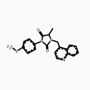 CC1C(=O)N(c2ccc(SC(F)(F)F)cc2)C(=O)N1Cc1ccnc2ccccc12